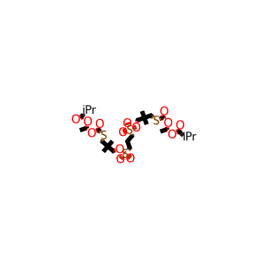 CC(OC(=O)SCC(C)(C)COS(=O)(=O)CCCS(=O)(=O)OCC(C)(C)CSC(=O)OC(C)OC(=O)C(C)C)OC(=O)C(C)C